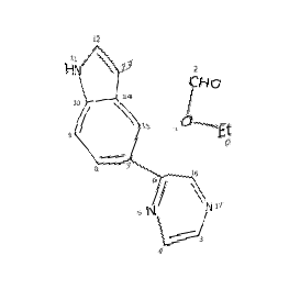 CCOC=O.c1cnc(-c2ccc3[nH]ccc3c2)cn1